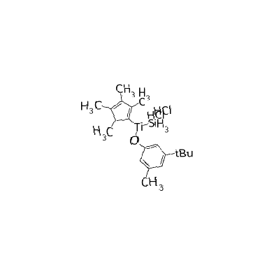 CC1=C(C)C(C)[C]([Ti]([SiH3])[O]c2cc(C)cc(C(C)(C)C)c2)=C1C.Cl.Cl